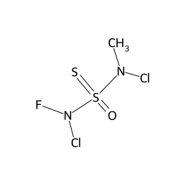 CN(Cl)S(=O)(=S)N(F)Cl